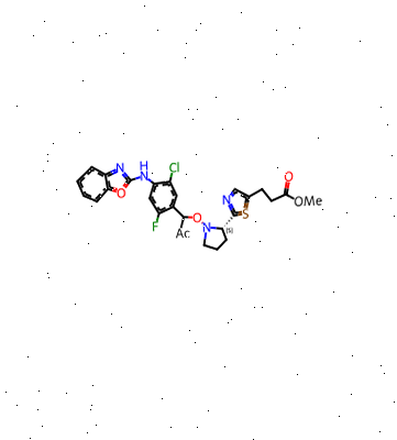 COC(=O)CCc1cnc([C@@H]2CCCN2OC(C(C)=O)c2cc(Cl)c(Nc3nc4ccccc4o3)cc2F)s1